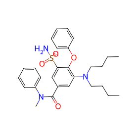 CCCCN(CCCC)c1cc(C(=O)N(C)c2ccccc2)cc(S(N)(=O)=O)c1Oc1ccccc1